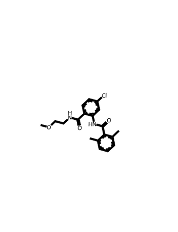 COCCNC(=O)c1ccc(Cl)cc1NC(=O)c1c(C)cccc1C